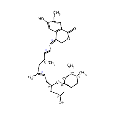 C/C(=C\C[C@@H]1C[C@H](O)C[C@]2(CC[C@H](C)[C@@H](C)O2)O1)C[C@@H](C)/C=C/C=C1\COC(=O)c2cc(C)c(O)cc21